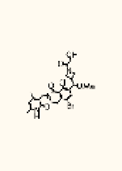 COC(c1cc(Br)c2c(c1Cl)C(=O)N(Cc1c(C)cc(C)[nH]c1=O)CC2)C1CN(C(=O)CO)C1